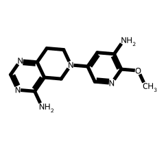 COc1ncc(N2CCc3ncnc(N)c3C2)cc1N